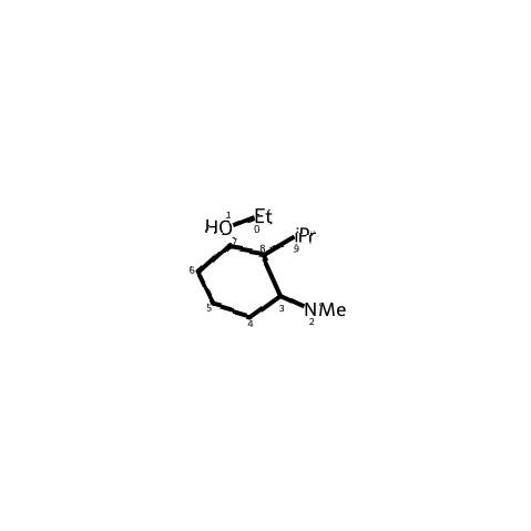 CCO.CNC1CCCCC1C(C)C